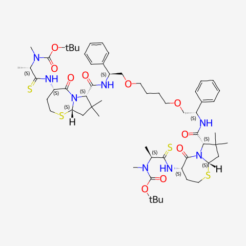 C[C@@H](C(=S)N[C@H]1CCS[C@H]2CC(C)(C)[C@@H](C(=O)N[C@H](COCCCCOC[C@@H](NC(=O)[C@H]3N4C(=O)[C@@H](NC(=S)[C@H](C)N(C)C(=O)OC(C)(C)C)CCS[C@H]4CC3(C)C)c3ccccc3)c3ccccc3)N2C1=O)N(C)C(=O)OC(C)(C)C